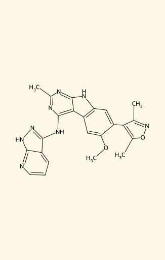 COc1cc2c(cc1-c1c(C)noc1C)[nH]c1nc(C)nc(Nc3n[nH]c4ncccc34)c12